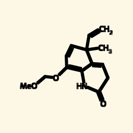 C=CC1(C)C=CC(OCOC)=C2NC(=O)CC=C21